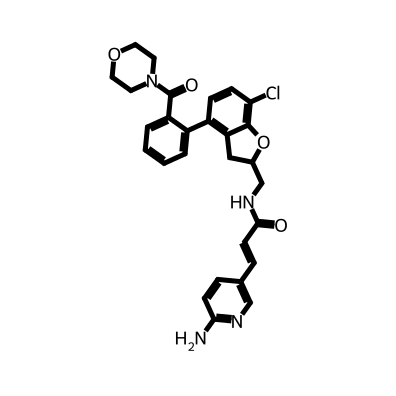 Nc1ccc(C=CC(=O)NCC2Cc3c(-c4ccccc4C(=O)N4CCOCC4)ccc(Cl)c3O2)cn1